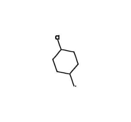 [CH2]C1CCC(Cl)CC1